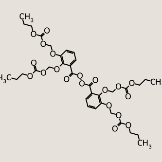 CCCOC(=O)OCOc1cccc(C(=O)OOC(=O)c2cccc(OCOC(=O)OCCC)c2OCOC(=O)OCCC)c1OCOC(=O)OCCC